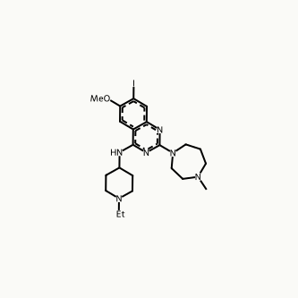 CCN1CCC(Nc2nc(N3CCCN(C)CC3)nc3cc(I)c(OC)cc23)CC1